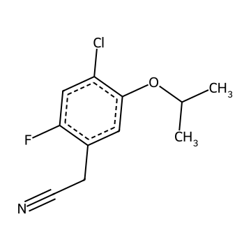 CC(C)Oc1cc(CC#N)c(F)cc1Cl